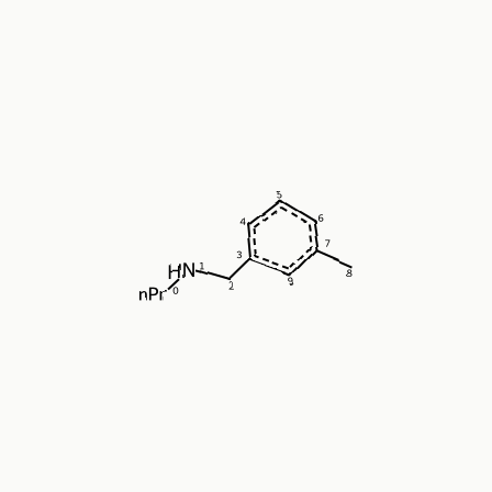 CCCNCc1cccc(C)c1